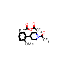 COc1ccccc1C1CCN(C(=O)C(F)(F)F)CC1.O=C(OC(=O)C(F)(F)F)C(F)(F)F